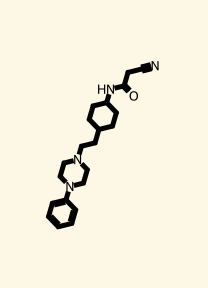 N#CCC(=O)NC1CCC(CCN2CCN(c3ccccc3)CC2)CC1